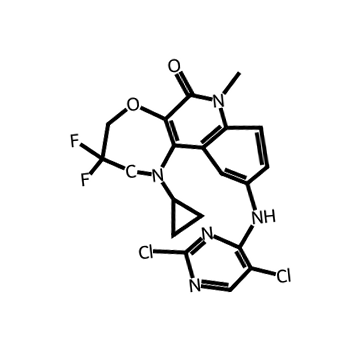 Cn1c(=O)c2c(c3cc(Nc4nc(Cl)ncc4Cl)ccc31)N(C1CC1)CC(F)(F)CO2